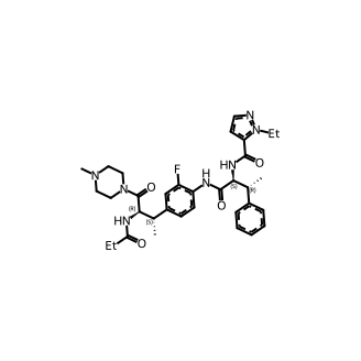 CCC(=O)N[C@@H](C(=O)N1CCN(C)CC1)[C@@H](C)c1ccc(NC(=O)[C@@H](NC(=O)c2ccnn2CC)[C@H](C)c2ccccc2)c(F)c1